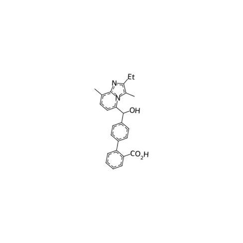 CCc1nc2c(C)ccc(C(O)c3ccc(-c4ccccc4C(=O)O)cc3)n2c1C